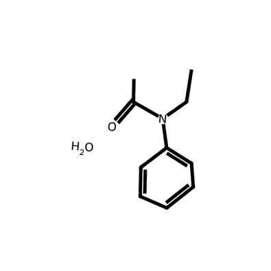 CCN(C(C)=O)c1ccccc1.O